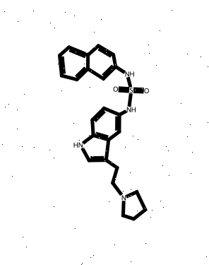 O=S(=O)(Nc1ccc2ccccc2c1)Nc1ccc2[nH]cc(CCN3CCCC3)c2c1